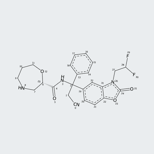 N#CCC(NC(=O)[C@@H]1CNCCCO1)(c1ccccc1)c1ccc2oc(=O)n(CC(F)F)c2c1